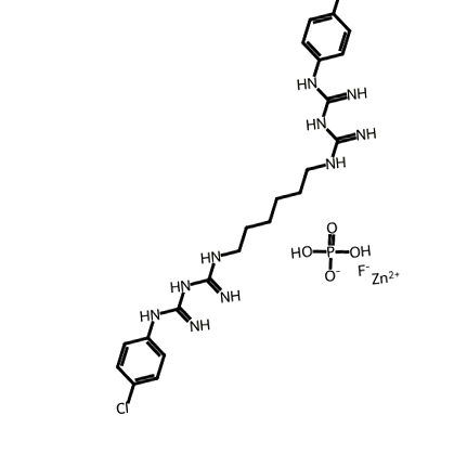 N=C(NCCCCCCNC(=N)NC(=N)Nc1ccc(Cl)cc1)NC(=N)Nc1ccc(Cl)cc1.O=P([O-])(O)O.[F-].[Zn+2]